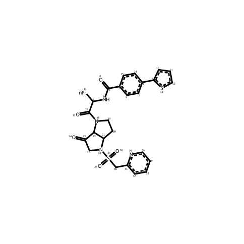 CCCC(NC(=O)c1ccc(-c2cccs2)cc1)C(=O)N1CCC2C1C(=O)CN2S(=O)(=O)Cc1ccccn1